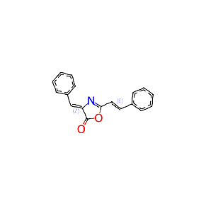 O=C1OC(/C=C/c2ccccc2)=NC/1=C\c1ccccc1